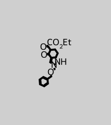 CCOC(=O)C(=O)C1CCC2NN(COCc3ccccc3)C=C2C1=O